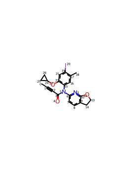 CC#CC(=O)N(c1ccc2c(n1)OCC2)c1cc(C)c(I)cc1OC1CC1